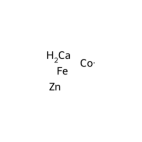 [CaH2].[Co].[Fe].[Zn]